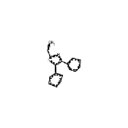 C=Cc1nc(-c2ccccc2)c(-c2ccccc2)[nH]1